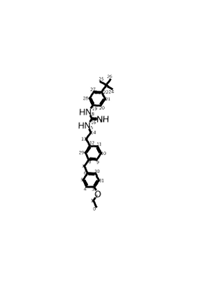 CCOc1ccc(Cc2cccc(CCNC(=N)Nc3ccc(C(C)(C)C)cc3)c2)cc1